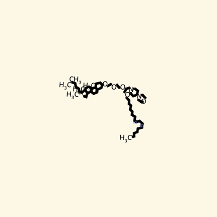 CCCCC/C=C\C/C=C\CCCCCCCCOCC(CN1CCC(N2CCOCC2)CC1)OCCOCCO[C@H]1CC[C@@]2(C)C(=CCC3C2CC[C@@]2(C)C3CC[C@@H]2[C@H](C)CCCC(C)C)C1